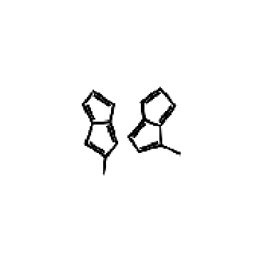 CC1=CC2=CC=CC2=C1.CC1=CC=C2C=CC=C12